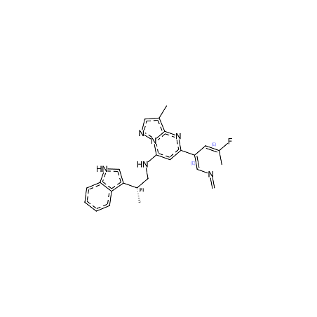 C=N/C=C(\C=C(/C)F)c1cc(NC[C@H](C)c2c[nH]c3ccccc23)n2ncc(C)c2n1